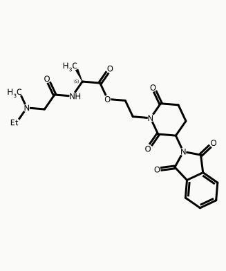 CCN(C)CC(=O)N[C@@H](C)C(=O)OCCN1C(=O)CCC(N2C(=O)c3ccccc3C2=O)C1=O